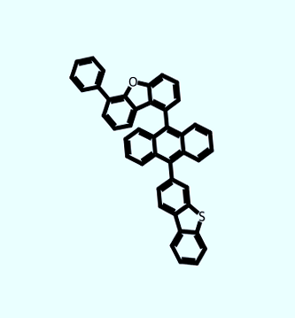 c1ccc(-c2cccc3c2oc2cccc(-c4c5ccccc5c(-c5ccc6c(c5)sc5ccccc56)c5ccccc45)c23)cc1